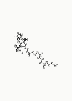 CC(=CCSCC(Nc1ncco1)C(=O)NC(N)=O)CCCC(C)CCCC(C)CCCC(C)C